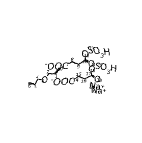 C=CCOCC=C.O=C([O-])CCC(=O)OS(=O)(=O)O.O=C([O-])CCC(=O)OS(=O)(=O)O.[Na+].[Na+]